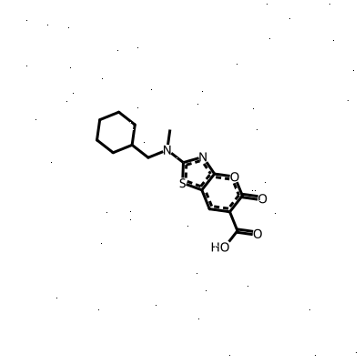 CN(CC1CCCCC1)c1nc2oc(=O)c(C(=O)O)cc2s1